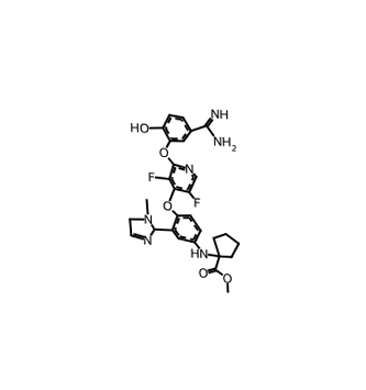 COC(=O)C1(Nc2ccc(Oc3c(F)cnc(Oc4cc(C(=N)N)ccc4O)c3F)c(C3N=CCN3C)c2)CCCC1